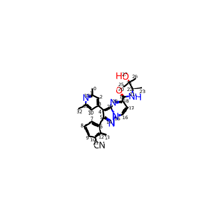 Cc1cc(-c2c(-c3cccc(C#N)c3C)nn3ccc(C(=O)N[C@H](C)C(C)(C)O)nc23)cc(C)n1